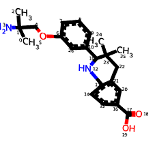 CC(C)(N)COc1cccc(C2Nc3ccc(C(=O)O)cc3CC2(C)C)c1